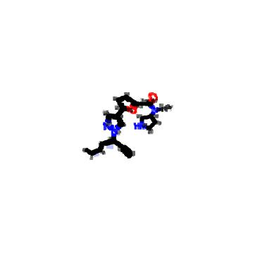 C#C/C(=C\C=C/C)n1cc(-c2ccc(C(=O)N(CCC)C3CCNC3)o2)cn1